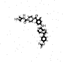 Cc1cc(Nc2nccn3c(-c4ccc(OC(F)F)cc4)cnc23)ccc1C(=O)N1CCN(C(=O)NC2CNC2)CC1